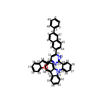 c1ccc(-c2ccc3cc(-c4cc(-c5cc6ccccc6o5)nc(-c5ccccc5-n5c6ccccc6c6ccccc65)n4)ccc3c2)cc1